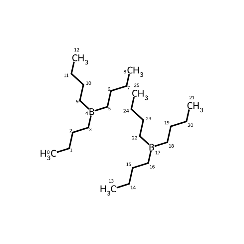 CCCCB(CCCC)CCCC.CCCCB(CCCC)CCCC